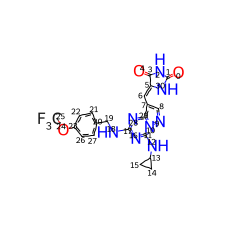 O=C1NC(=O)/C(=C/c2cnn3c(NC4CC4)nc(NCc4ccc(OC(F)(F)F)cc4)nc23)N1